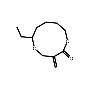 C=C1COC(CC)CCCCOC1=O